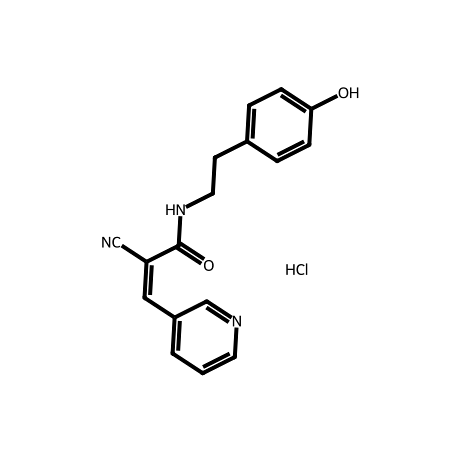 Cl.N#CC(=Cc1cccnc1)C(=O)NCCc1ccc(O)cc1